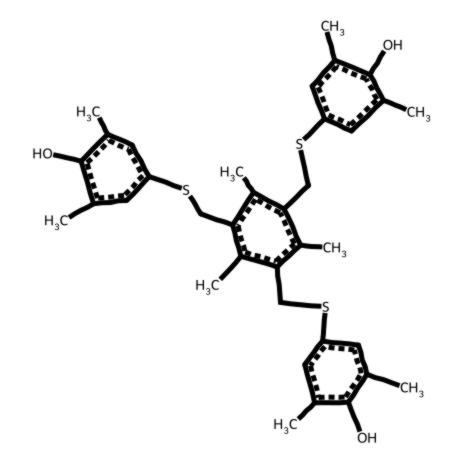 Cc1cc(SCc2c(C)c(CSc3cc(C)c(O)c(C)c3)c(C)c(CSc3cc(C)c(O)c(C)c3)c2C)cc(C)c1O